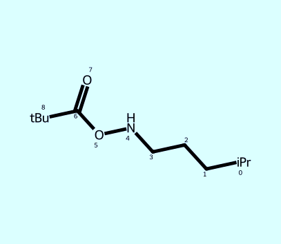 CC(C)CCCNOC(=O)C(C)(C)C